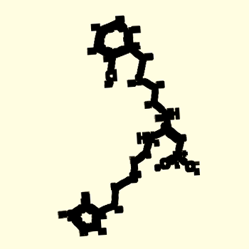 O=[N+]([O-])/C=C(\NCCSCCc1ccsn1)NCCSCc1ncccc1Cl